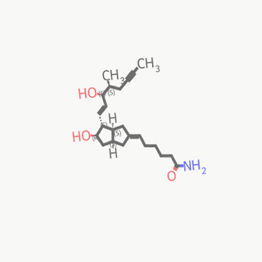 CC#CC[C@H](C)[C@H](O)C=C[C@@H]1[C@H]2CC(=CCCCCC(N)=O)C[C@H]2C[C@H]1O